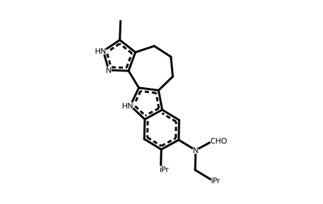 Cc1[nH]nc2c1CCCc1c-2[nH]c2cc(C(C)C)c(N(C=O)CC(C)C)cc12